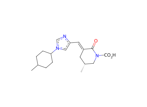 CC1CCC(n2cnc(C=C3C[C@@H](C)CN(C(=O)O)C3=O)c2)CC1